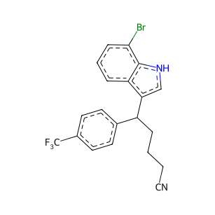 N#CCCCC(c1ccc(C(F)(F)F)cc1)c1c[nH]c2c(Br)cccc12